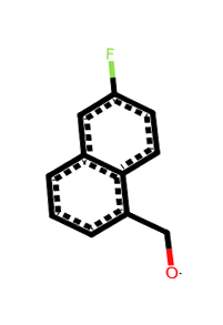 [O]Cc1cccc2cc(F)ccc12